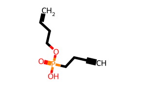 C#CCCP(=O)(O)OCCC=C